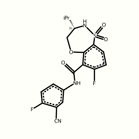 CC(C)[C@H]1COc2c(ccc(F)c2C(=O)Nc2ccc(F)c(C#N)c2)S(=O)(=O)N1